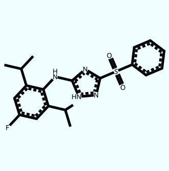 CC(C)c1cc(F)cc(C(C)C)c1Nc1nc(S(=O)(=O)c2ccccc2)n[nH]1